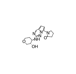 O=C1CCCN1c1ccc2cnc(N[C@@H]3CCOC[C@H]3O)nn12